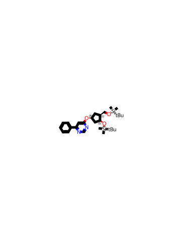 CC(C)(C)[Si](C)(C)OC[C@@H]1C[C@@H](Oc2cc(-c3ccccc3)ncn2)C[C@@H]1O[Si](C)(C)C(C)(C)C